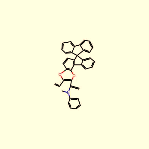 C=CC1=C(C(=C)N(C)c2ccccc2)Oc2c(ccc3c2-c2ccccc2C32c3ccccc3-c3ccccc32)O1